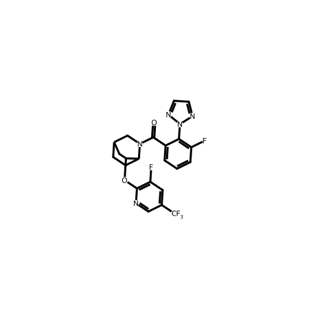 O=C(c1cccc(F)c1-n1nccn1)N1CC2CCC1C(Oc1ncc(C(F)(F)F)cc1F)C2